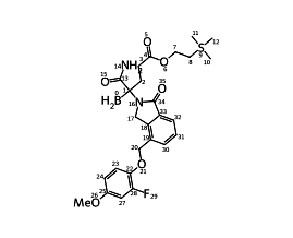 BC(CCC(=O)OCCS(C)(C)C)(C(N)=O)N1Cc2c(COc3ccc(OC)cc3F)cccc2C1=O